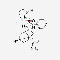 NC(=O)[C@]12CC3C[C@H](CC(C1)[C@@H]3NC(=O)N1[C@@H]3CC[C@H]1C[C@@H](Oc1ccccc1)C3)C2